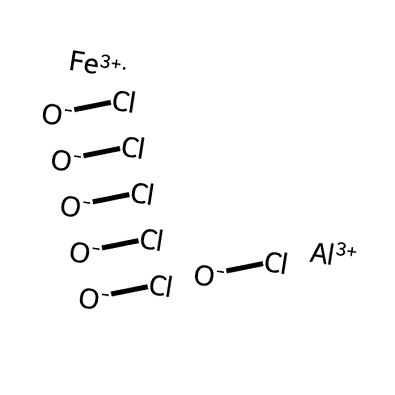 [Al+3].[Fe+3].[O-]Cl.[O-]Cl.[O-]Cl.[O-]Cl.[O-]Cl.[O-]Cl